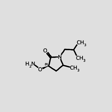 CC(C)CN1C(=O)[C@H](ON)CC1C